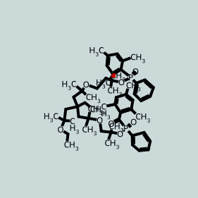 CCOC(C)(C)CC(CC)(CC(C)(C)OCCC(C)(C)OP(=O)(c1ccccc1)c1c(C)cc(C)cc1C)CC(C)(C)OCC(C)(C)OP(=O)(C(=O)c1c(C)cc(C)cc1C)c1ccccc1